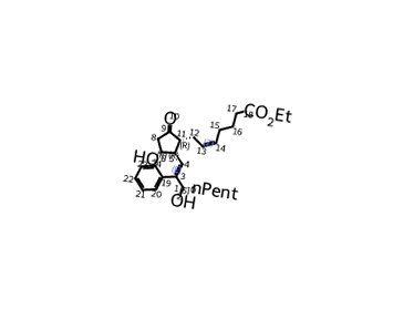 CCCCC[C@H](O)/C(=C/[C@H]1[C@H](O)CC(=O)[C@@H]1C/C=C\CCCC(=O)OCC)c1ccccc1